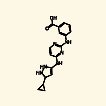 O=C(O)c1cccc(Nc2nccc(NC3=CC(C4CC4)NN3)n2)c1